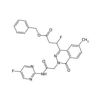 Cc1ccc2c(=O)n(CC(=O)Nc3ncc(F)cn3)nc(C(F)CC(=O)OCc3ccccc3)c2c1